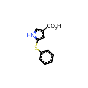 O=C(O)c1c[nH]c(Sc2ccccc2)c1